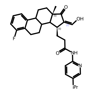 CC(C)c1ccc(NC(=O)CC[C@@H]2/C(=C/O)C(=O)[C@@]3(C)CCC4c5cccc(F)c5CCC4C23)nc1